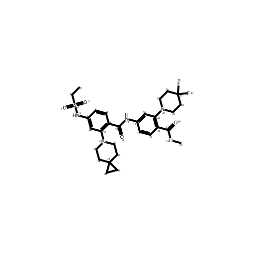 CCS(=O)(=O)Nc1ccc(C(=O)Nc2ccc(C(=O)OC)c(N3CCC(F)(F)CC3)c2)c(N2CCC3(CC2)CC3)c1